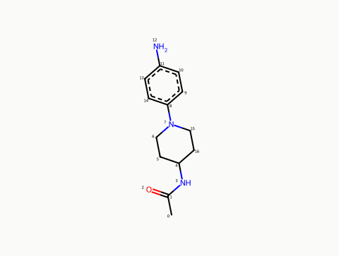 CC(=O)NC1CCN(c2ccc(N)cc2)CC1